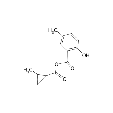 Cc1ccc(O)c(C(=O)OC(=O)C2CC2C)c1